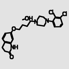 CO.O=C1CCc2ccc(OCCCCN3CCN(c4cccc(Cl)c4Cl)CC3)cc2N1